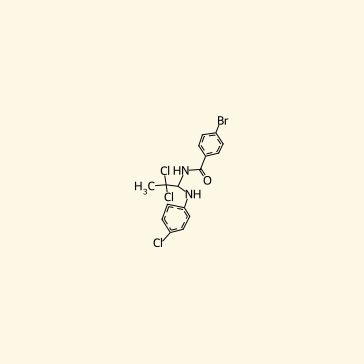 CC(Cl)(Cl)C(NC(=O)c1ccc(Br)cc1)Nc1ccc(Cl)cc1